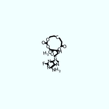 C[C@@]12COC(=O)OCCCCCC(=O)O[C@H]1C[C@H](n1cnc3c(N)nc(F)nc31)O2